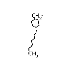 [CH2][C@H]1CC[C@H](CCCCCCC)CC1